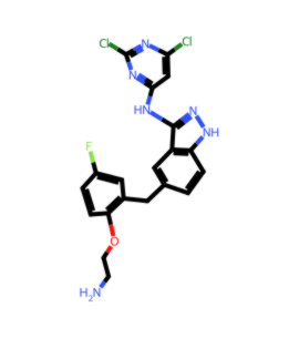 NCCOc1ccc(F)cc1Cc1ccc2[nH]nc(Nc3cc(Cl)nc(Cl)n3)c2c1